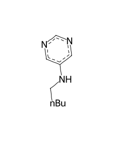 CCCCCNc1cncnc1